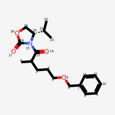 CC(CCCOCc1ccccc1)C(=O)N1C(=O)OC[C@@H]1C(C)C